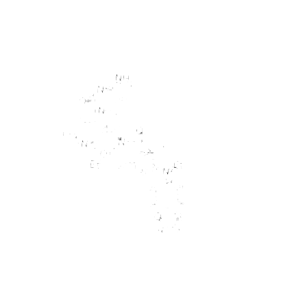 CCOc1nc(C)cc(-n2ccc(N)nc2=O)c1CN1CCc2sc(N(CC)C3CCC4(CC3)OCCO4)c(C)c2C1=O